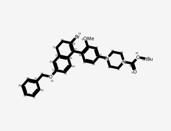 COc1cc(N2CCN(C(=O)OC(C)(C)C)CC2)ccc1C1=C(Br)CCc2cc(OCc3ccccc3)ccc21